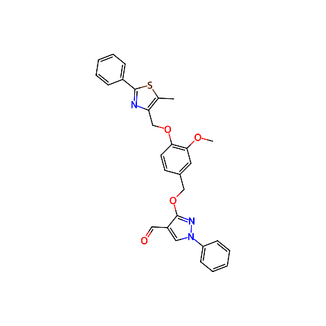 COc1cc(COc2nn(-c3ccccc3)cc2C=O)ccc1OCc1nc(-c2ccccc2)sc1C